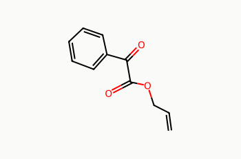 C=CCOC(=O)C(=O)c1ccccc1